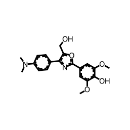 COc1cc(-c2nc(-c3ccc(N(C)C)cc3)c(CO)o2)cc(OC)c1O